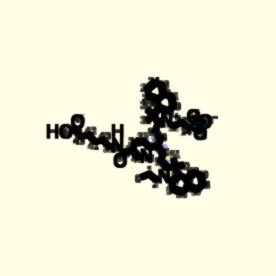 CCCN1/C(=C/C=C(/C=C/C2=[N+](CCCS(=O)(=O)[O-])c3ccc4ccccc4c3C2(C)C)c2ccc(C(=O)NCCCCCC(=O)O)cn2)C(C)(C)c2c1ccc1ccccc21